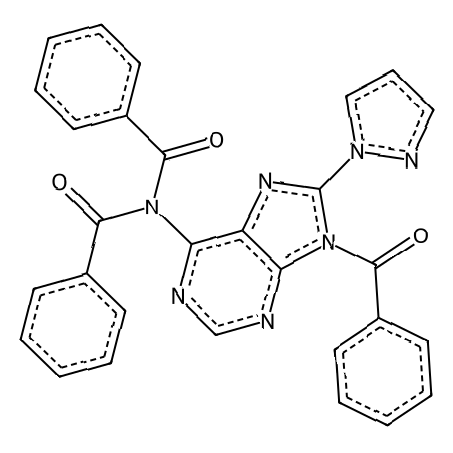 O=C(c1ccccc1)N(C(=O)c1ccccc1)c1ncnc2c1nc(-n1cccn1)n2C(=O)c1ccccc1